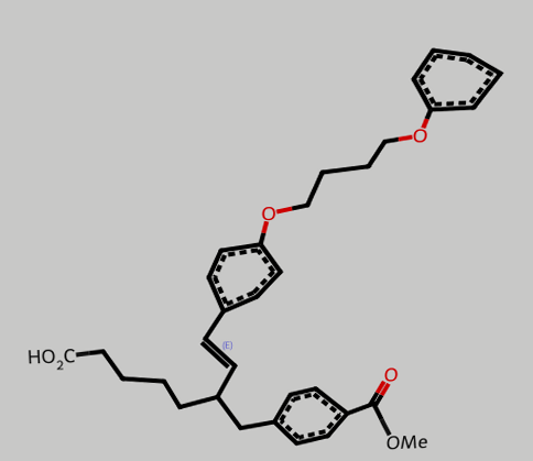 COC(=O)c1ccc(CC(/C=C/c2ccc(OCCCCOc3ccccc3)cc2)CCCCC(=O)O)cc1